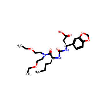 CCCC[C@H](NC(=O)N[C@@H](CC(=O)O)c1ccc2c(c1)OCO2)C(=O)N(CCOCC)CCOCC